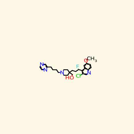 COc1ccc2ncc(Cl)c([C@@H](F)CCC3(CO)CCN(CCCCc4cnccn4)CC3)c2c1